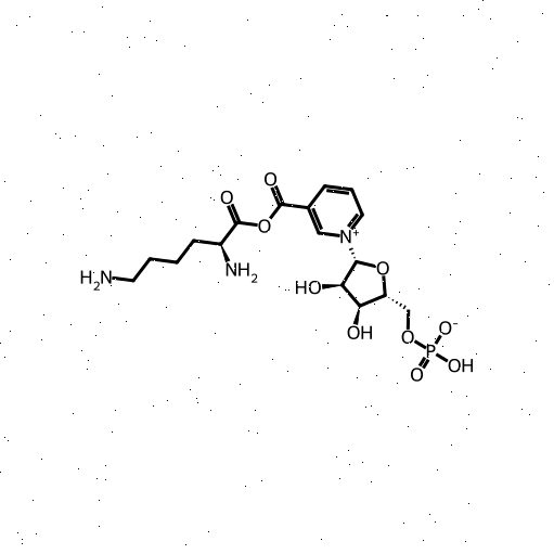 NCCCC[C@H](N)C(=O)OC(=O)c1ccc[n+]([C@@H]2O[C@H](COP(=O)([O-])O)[C@@H](O)[C@H]2O)c1